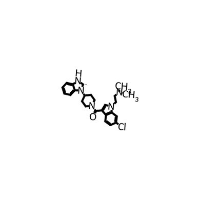 CN(C)CCn1cc(C(=O)N2CCC(N3[CH]Nc4ccccc43)CC2)c2ccc(Cl)cc21